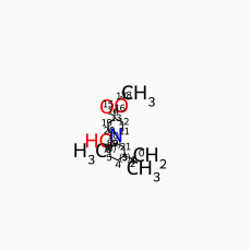 C=C(C)[C@H]1CC[C@@](C)(O)[C@H](N2CCC(C(=O)OCC)CC2)C1